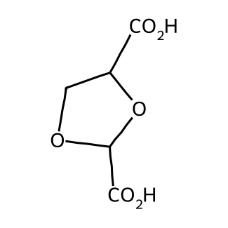 O=C(O)C1COC(C(=O)O)O1